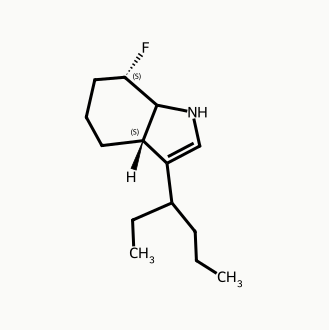 CCCC(CC)C1=CNC2[C@@H](F)CCC[C@@H]12